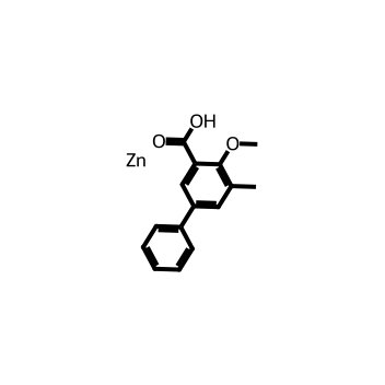 COc1c(C)cc(-c2ccccc2)cc1C(=O)O.[Zn]